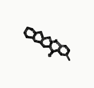 Cc1ccc2sc3cc4cc5ccccc5cc4cc3c(=O)c2c1